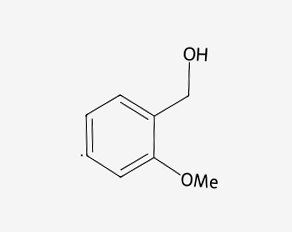 COc1c[c]ccc1CO